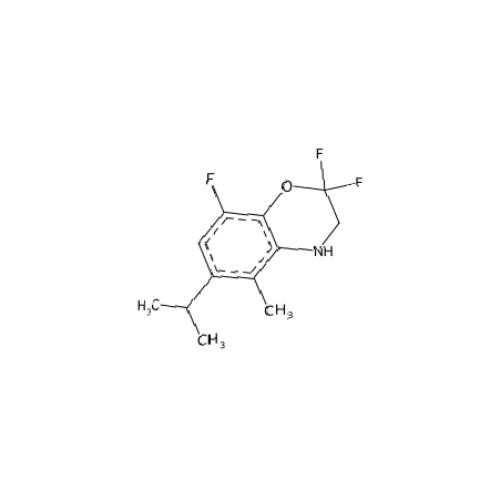 Cc1c(C(C)C)cc(F)c2c1NCC(F)(F)O2